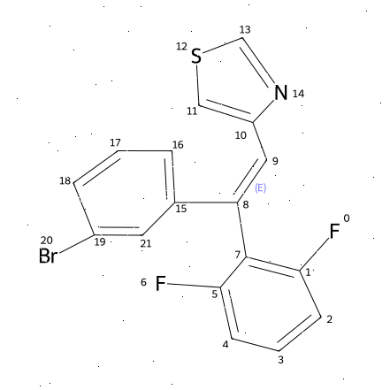 Fc1cccc(F)c1/C(=C/c1cscn1)c1cccc(Br)c1